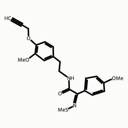 C#CCOc1ccc(CCNC(=O)/C(=N\SC)c2ccc(OC)cc2)cc1OC